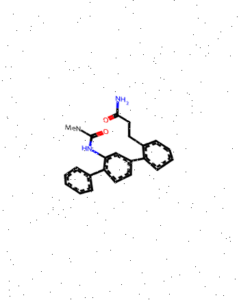 CNC(=O)Nc1cc(-c2ccccc2CCC(N)=O)ccc1-c1ccccc1